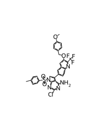 COc1ccc(COc2cc3cc(-c4cn(S(=O)(=O)c5ccc(C)cc5)c5nc(Cl)nc(N)c45)ccc3nc2C(F)(F)F)cc1